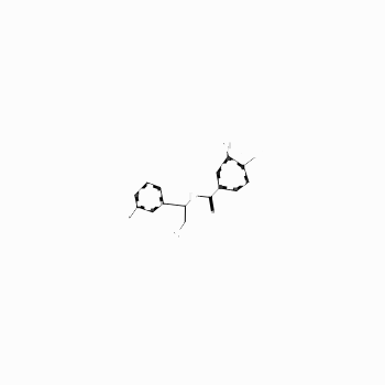 NCC(NC(=O)c1ccc(Cl)c(N)c1)c1cccc(Cl)c1